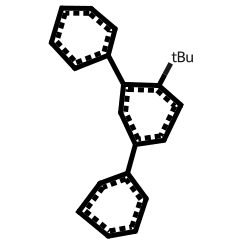 [CH2]C(C)(C)c1ccc(-c2ccccc2)cc1-c1ccccc1